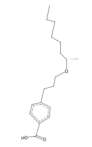 CCCCCC[C@H](C)OCCCc1ccc(C(=O)O)cc1